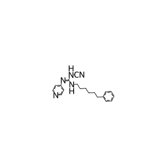 N#CNC(=Nc1ccncc1)NCCCCCCc1ccccc1